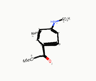 COC(=O)c1ccc(NS(=O)(=O)O)cc1.[NaH]